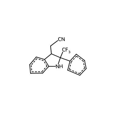 N#CCC1c2ccccc2NC1(c1ccccc1)C(F)(F)F